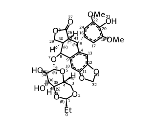 CC[C@@H]1OC[C@H]2O[C@@H](OC3c4cc5c(cc4[C@@H](c4cc(OC)c(O)c(OC)c4)[C@H]4C(=O)OC[C@H]34)OCO5)[C@H](O)[C@@H](O)[C@@H]2O1